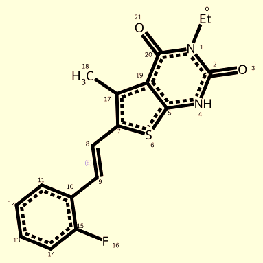 CCn1c(=O)[nH]c2sc(/C=C/c3ccccc3F)c(C)c2c1=O